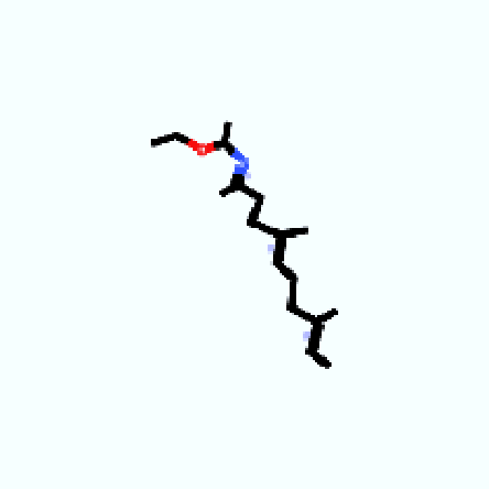 C/C=C(\C)CC/C=C(\C)CC/C(C)=N/C(C)OCC